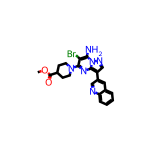 COC(=O)C1CCN(c2nc3c(-c4cnc5ccccc5c4)cnn3c(N)c2Br)CC1